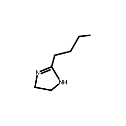 CCCCC1=NCCN1